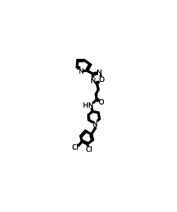 O=C(CCc1nc(-c2ccccn2)no1)NC1CCN(Cc2ccc(Cl)c(Cl)c2)CC1